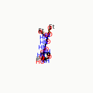 CCOCCSCC(=O)NCC(CCC(=O)NCCCNC(=O)CNC(=O)[C@@H]1Cc2ccc(cc2)OCCC[C@H](C(=O)NO)[C@@H](CC(C)C)C(=O)N1)NC(=O)CSCCOCC